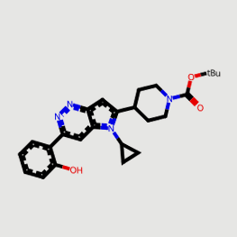 CC(C)(C)OC(=O)N1CCC(c2cc3nnc(-c4ccccc4O)cc3n2C2CC2)CC1